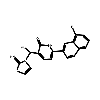 CC(C)C(c1ccc(-c2ccc3cccc(F)c3c2)[nH]c1=O)n1ccsc1=N